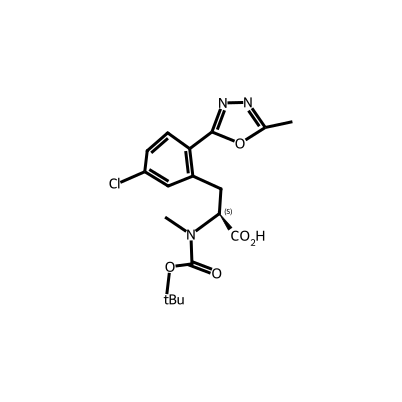 Cc1nnc(-c2ccc(Cl)cc2C[C@@H](C(=O)O)N(C)C(=O)OC(C)(C)C)o1